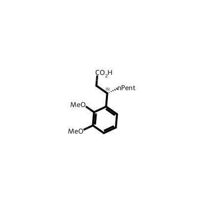 CCCCC[C@@H](CC(=O)O)c1cccc(OC)c1OC